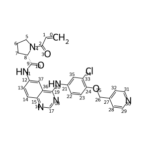 C=CC(=O)N1CCC[C@H]1C(=O)Nc1ccc2ncnc(Nc3ccc(OCc4ccncc4)c(Cl)c3)c2c1